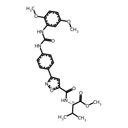 COC(=O)[C@@H](NC(=O)c1cc(-c2ccc(NC(=O)Nc3cc(OC)ccc3OC)cc2)no1)C(C)C